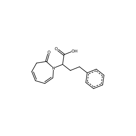 O=C(O)C(CCc1ccccc1)N1C=CC=CCC1=O